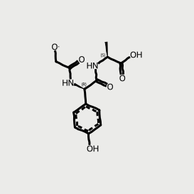 C[C@H](NC(=O)[C@H](NC(=O)C[O])c1ccc(O)cc1)C(=O)O